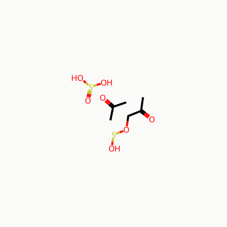 CC(=O)COSO.CC(C)=O.O=S(O)O